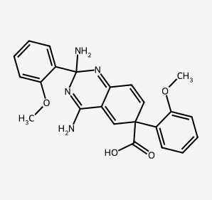 COc1ccccc1C1(N)N=C(N)C2=CC(C(=O)O)(c3ccccc3OC)C=CC2=N1